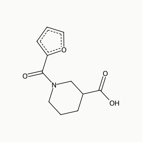 O=C(O)C1CCCN(C(=O)c2ccco2)C1